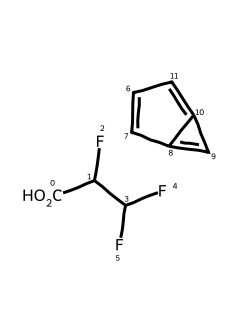 O=C(O)C(F)C(F)F.c1cc2cc-2c1